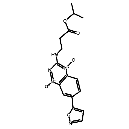 CC(C)OC(=O)CCNc1n[n+]([O-])c2cc(-c3ccno3)ccc2[n+]1[O-]